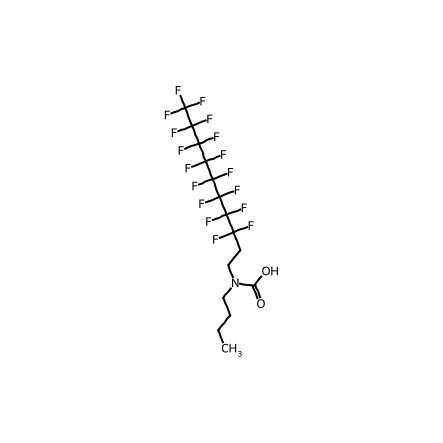 CCCCN(CCC(F)(F)C(F)(F)C(F)(F)C(F)(F)C(F)(F)C(F)(F)C(F)(F)C(F)(F)F)C(=O)O